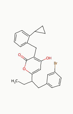 CCC(Cc1cccc(Br)c1)c1cc(O)c(Cc2ccccc2C2CC2)c(=O)o1